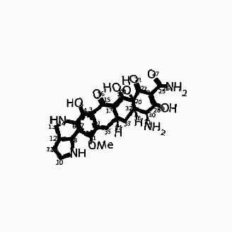 COc1c2c(c(O)c3c1C1NCCC1CN3)C(=O)C1=C(O)[C@]3(O)C(=O)C(C(N)=O)=C(O)[C@@H](N)[C@@H]3C[C@@H]1C2